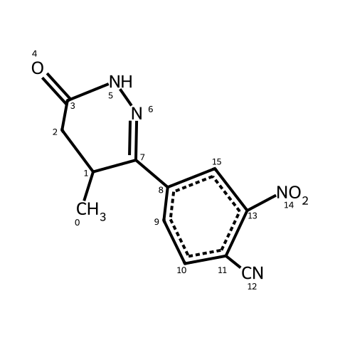 CC1CC(=O)NN=C1c1ccc(C#N)c([N+](=O)[O-])c1